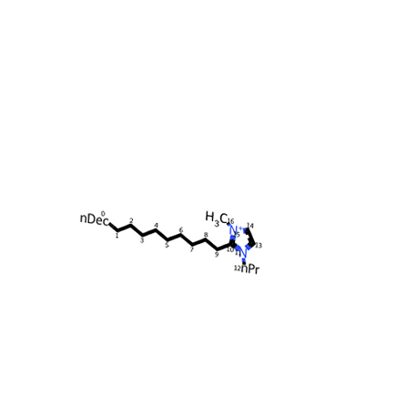 CCCCCCCCCCCCCCCCCCCc1n(CCC)cc[n+]1C